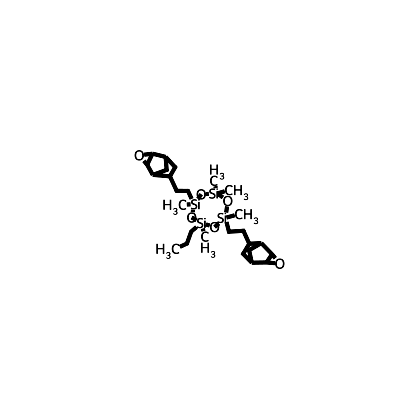 CCC[Si]1(C)O[Si](C)(CCC2CC3CC2C2OC32)O[Si](C)(C)O[Si](C)(CCC2CC3CC2C2OC32)O1